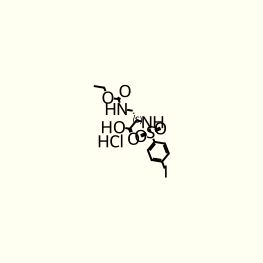 CCOC(=O)NC[C@H](NS(=O)(=O)c1ccc(I)cc1)C(=O)O.Cl